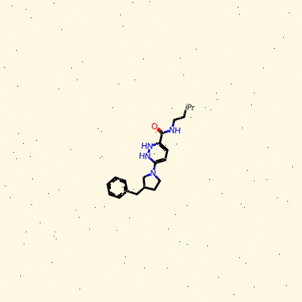 CC(C)CCNC(=O)C1=CC=C(N2CCC(Cc3ccccc3)C2)NN1